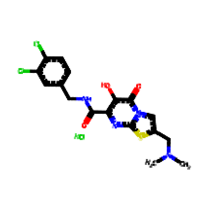 CN(C)Cc1cn2c(=O)c(O)c(C(=O)NCc3ccc(Cl)c(Cl)c3)nc2s1.Cl